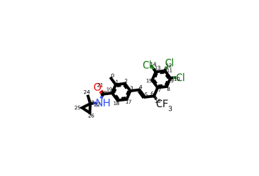 Cc1cc(/C=C/C(c2cc(Cl)c(Cl)c(Cl)c2)C(F)(F)F)ccc1C(=O)NC1(C)CC1